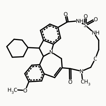 COc1ccc2c(c1)C=C1CN3c4cc(ccc4C(C4CCCCC4)C23)C(=O)NS(=O)(=O)NCCCCN(C)C1=O